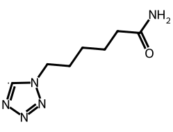 NC(=O)CCCCCn1[c]nnn1